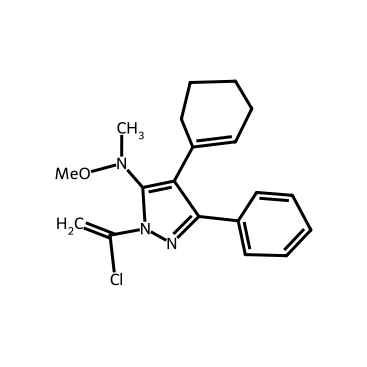 C=C(Cl)n1nc(-c2ccccc2)c(C2=CCCCC2)c1N(C)OC